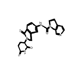 O=C1CCC(N2Cc3cc(NC(=O)N4CCc5ccncc54)ccc3C2=O)C(=O)N1